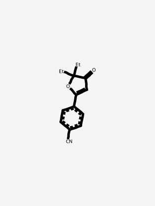 CCC1(CC)OC(c2ccc(C#N)cc2)=CC1=O